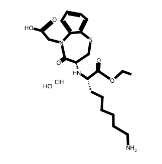 CCOC(=O)[C@H](CCCCCCN)N[C@H]1CSc2ccccc2N(CC(=O)O)C1=O.Cl.Cl